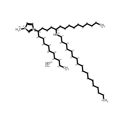 CCCCCCCCCCCCCCCCCCNC(CCCCCCCCCC)CCCC(CCCCCCCCCC)[n+]1ccn(C)c1.Cl.[Cl-]